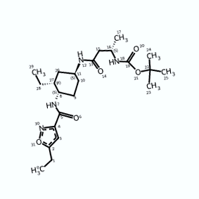 CCc1cc(C(=O)N[C@H]2CC[C@H](NC(=O)C[C@H](C)NC(=O)OC(C)(C)C)C[C@H]2CC)no1